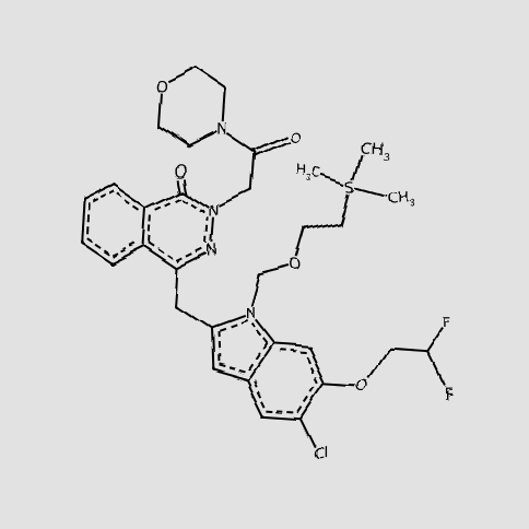 CS(C)(C)CCOCn1c(Cc2nn(CC(=O)N3CCOCC3)c(=O)c3ccccc23)cc2cc(Cl)c(OCC(F)F)cc21